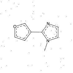 Cn1[c]cnc1-c1ccoc1